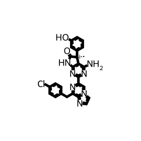 C[C@@]1(c2cccc(O)c2)C(=O)Nc2nc(-c3cn4ccnc4c(Cc4ccc(Cl)cc4)n3)nc(N)c21